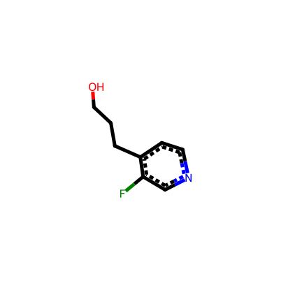 OCCCc1ccncc1F